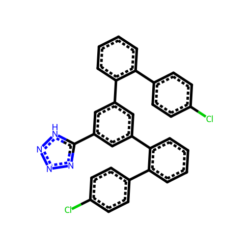 Clc1ccc(-c2ccccc2-c2cc(-c3nnn[nH]3)cc(-c3ccccc3-c3ccc(Cl)cc3)c2)cc1